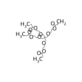 C=CC(=O)OCCOCC(COCCOC(=O)CC)(COCCOC(=O)CC)COCCOC(=O)CC